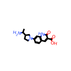 CC(N)C1CCN(c2ccc3cc(C(=O)O)c(=O)[nH]c3c2)C1